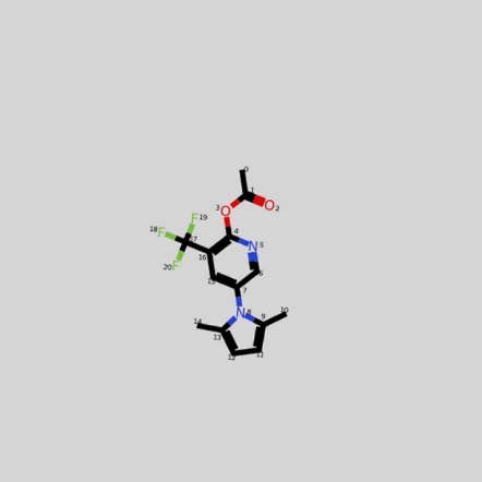 CC(=O)Oc1ncc(-n2c(C)ccc2C)cc1C(F)(F)F